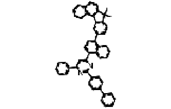 CC1(C)c2ccc(-c3ccc(-c4cc(-c5ccccc5)nc(-c5ccc(-c6ccccc6)cc5)n4)c4ccccc34)cc2-c2c1ccc1ccccc21